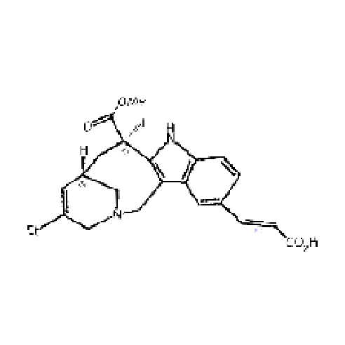 CCC1=C[C@H]2CN(C1)Cc1c([nH]c3ccc(/C=C/C(=O)O)cc13)[C@](I)(C(=O)OC)C2